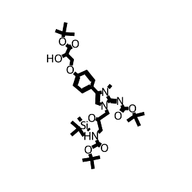 Cn1c(-c2ccc(OCC(O)C(=O)OC(C)(C)C)cc2)cn(CC(CNC(=O)OC(C)(C)C)O[Si](C)(C)C(C)(C)C)c1=NC(=O)OC(C)(C)C